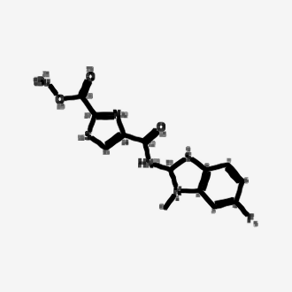 CN1c2cc(F)ccc2SC1NC(=O)c1csc(C(=O)OC(C)(C)C)n1